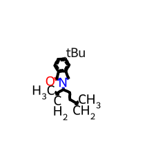 C=C(C)CCC(C(=C)C)N1Cc2cc(C(C)(C)C)ccc2C1=O